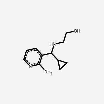 Nc1ncccc1C(NCCO)C1CC1